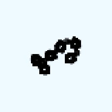 c1ccc(Oc2cccc(Oc3ccc(-c4ccc(-n5c6ccccc6c6ccccc65)cc4)cc3)c2)cc1